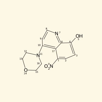 O=[N+]([O-])c1ccc(O)c2nccc(N3CCOCC3)c12